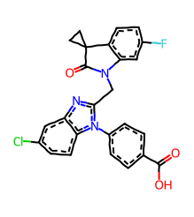 O=C(O)c1ccc(-n2c(CN3C(=O)C4(CC4)c4ccc(F)cc43)nc3cc(Cl)ccc32)cc1